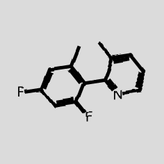 Cc1cccnc1-c1c(C)cc(F)cc1F